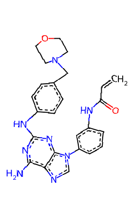 C=CC(=O)Nc1cccc(-n2cnc3c(N)nc(Nc4ccc(CN5CCOCC5)cc4)nc32)c1